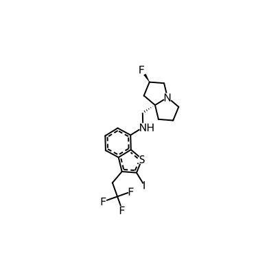 F[C@H]1CN2CCC[C@@]2(CNc2cccc3c(CC(F)(F)F)c(I)sc23)C1